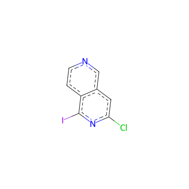 Clc1cc2cnccc2c(I)n1